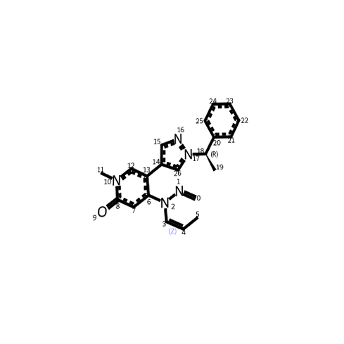 C=NN(/C=C\C)c1cc(=O)n(C)cc1-c1cnn([C@H](C)c2ccccc2)c1